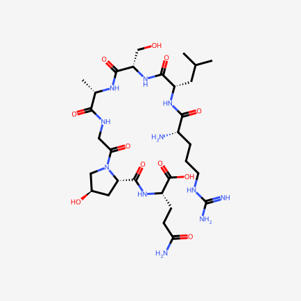 CC(C)C[C@H](NC(=O)[C@@H](N)CCCNC(=N)N)C(=O)N[C@@H](CO)C(=O)N[C@@H](C)C(=O)NCC(=O)N1C[C@H](O)C[C@H]1C(=O)N[C@@H](CCC(N)=O)C(=O)O